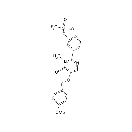 COc1ccc(COc2cnc(-c3cccc(OS(=O)(=O)C(F)(F)F)c3)n(C)c2=O)cc1